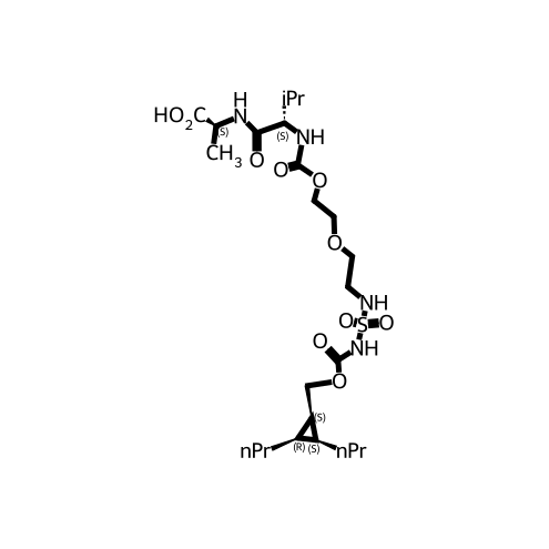 CCC[C@@H]1[C@H](CCC)[C@@H]1COC(=O)NS(=O)(=O)NCCOCCOC(=O)N[C@H](C(=O)N[C@@H](C)C(=O)O)C(C)C